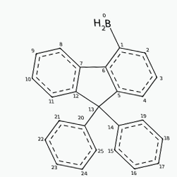 Bc1cccc2c1-c1ccccc1C2(c1ccccc1)c1ccccc1